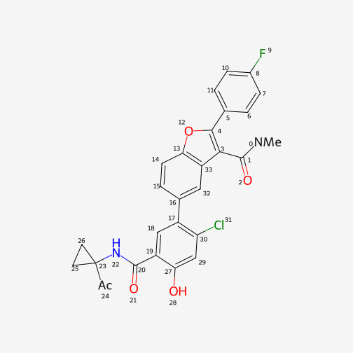 CNC(=O)c1c(-c2ccc(F)cc2)oc2ccc(-c3cc(C(=O)NC4(C(C)=O)CC4)c(O)cc3Cl)cc12